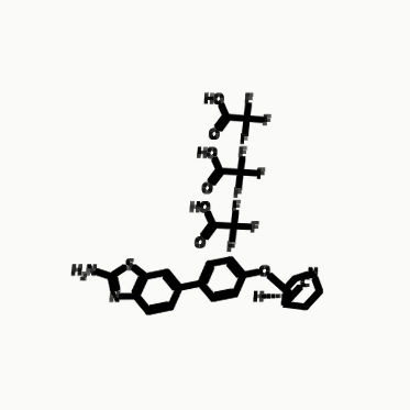 Nc1nc2ccc(-c3ccc(O[C@H]4CN5CCC4CC5)cc3)cc2s1.O=C(O)C(F)(F)F.O=C(O)C(F)(F)F.O=C(O)C(F)(F)F